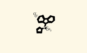 [CH2]=[Zr+2]([CH]1C=CC=C1)[CH]1c2ccccc2-c2ccccc21.[Cl-].[Cl-]